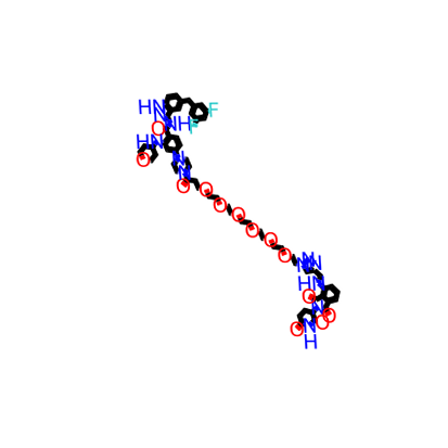 O=C1CCC(N2C(=O)c3cccc(NCc4cn(CCOCCOCCOCCOCCOCCOCCC(=O)N5CCN(c6ccc(C(=O)Nc7n[nH]c8ccc(Cc9cc(F)cc(F)c9)cc78)c(NC7CCOCC7)c6)CC5)nn4)c3C2=O)C(=O)N1